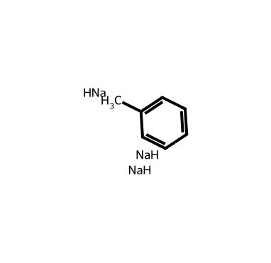 Cc1ccccc1.[NaH].[NaH].[NaH]